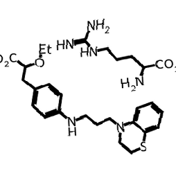 CCOC(Cc1ccc(NCCCN2CCSc3ccccc32)cc1)C(=O)O.N=C(N)NCCCC(N)C(=O)O